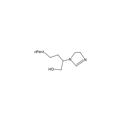 CCCCCCCC(CO)N1C=NCC1